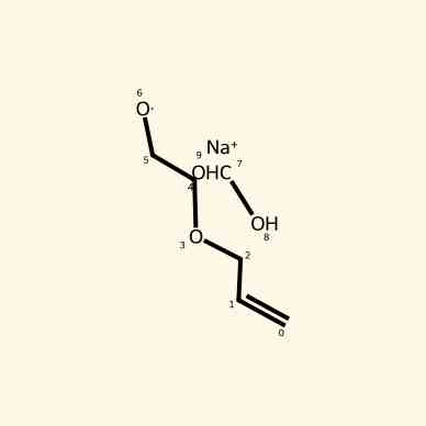 C=CCOCC[O].O=[C-]O.[Na+]